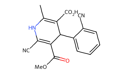 COC(=O)C1=C(C#N)NC(C)=C(C(=O)O)C1c1ccccc1C#N